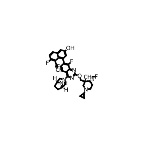 C#Cc1c(F)ccc2cc(O)cc(-c3c(F)cc4c(N5C[C@H]6CC[C@@H](C5)N6)nc(OC[C@@]5(C)CN(C6CC6)CC[C@H]5CF)nc4c3F)c12